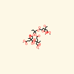 CCC(COC(=O)CCC(CC(=O)OC)(C(C)=O)C(=O)OC)(COC(=O)CCC(CC(=O)OC)(C(C)=O)C(=O)OC)COC(=O)CC(CCC(=O)OC)(C(C)=O)C(=O)OC